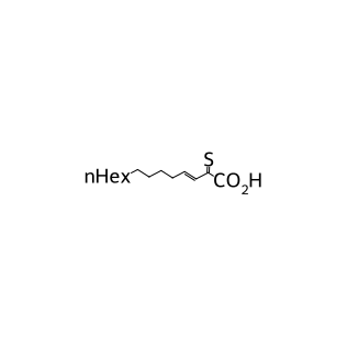 CCCCCCCCCCC=CC(=S)C(=O)O